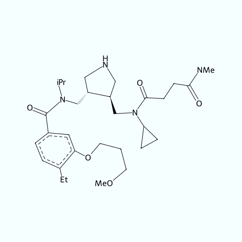 CCc1ccc(C(=O)N(C[C@@H]2CNC[C@H]2CN(C(=O)CCC(=O)NC)C2CC2)C(C)C)cc1OCCCOC